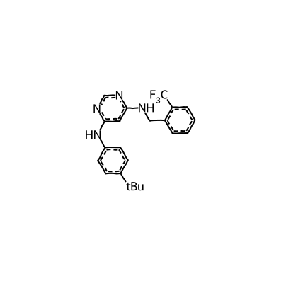 CC(C)(C)c1ccc(Nc2cc(NCc3ccccc3C(F)(F)F)ncn2)cc1